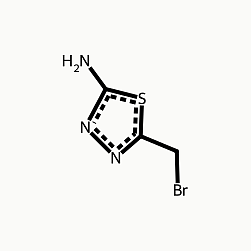 Nc1nnc(CBr)s1